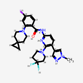 Cn1cc(-c2ccc(NC(=O)c3ccc(I)cc3N3CCC4(CC3)CC4)nc2N2CCC(F)(F)CC2)cn1